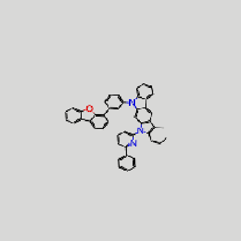 C/C=C\c1c(C)c2cc3c4ccccc4n(-c4cccc(-c5cccc6c5oc5ccccc56)c4)c3cc2n1-c1cccc(-c2ccccc2)n1